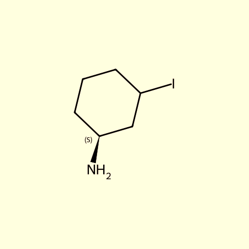 N[C@H]1CCCC(I)C1